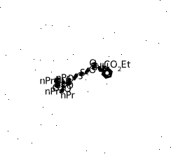 CCCC(CCC)C(=O)N(NC(=O)OCCSSCCOC(=O)NCC1(CC(=O)OCC)CCCCC1)C(=O)C(CCC)CCC